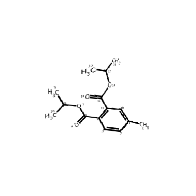 Cc1ccc(C(=O)OC(C)C)c(C(=O)OC(C)C)c1